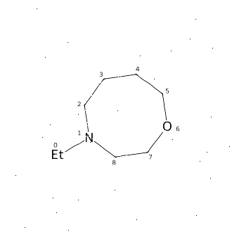 CCN1CCCCOCC1